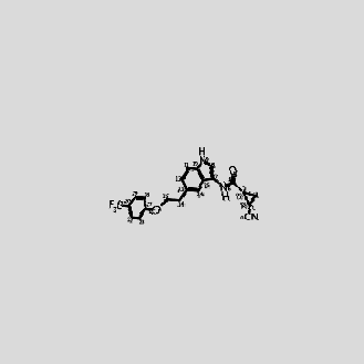 N#C[C@@H]1C[C@@H]1C(=O)Nc1c[nH]c2ccc(CCOc3ccc(C(F)(F)F)cc3)cc12